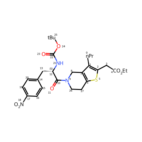 CCCc1c(CC(=O)OCC)sc2c1CN(C(=O)[C@H](Cc1ccc([N+](=O)[O-])cc1)NC(=O)OC(C)(C)C)CC2